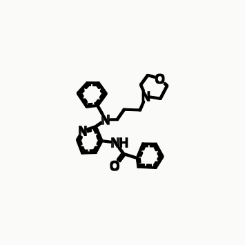 O=C(Nc1cccnc1N(CCCN1CCOCC1)c1ccccc1)c1ccccc1